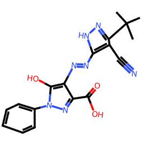 CC(C)(C)c1n[nH]c(/N=N/c2c(C(=O)O)nn(-c3ccccc3)c2O)c1C#N